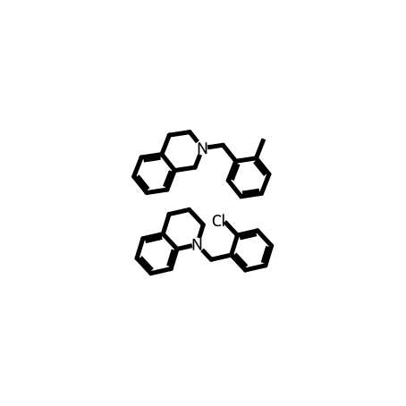 Cc1ccccc1CN1CCc2ccccc2C1.Clc1ccccc1CN1CCCc2ccccc21